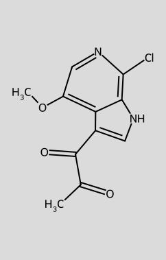 COc1cnc(Cl)c2[nH]cc(C(=O)C(C)=O)c12